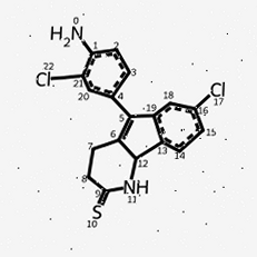 Nc1ccc(C2=C3CCC(=S)NC3c3ccc(Cl)cc32)cc1Cl